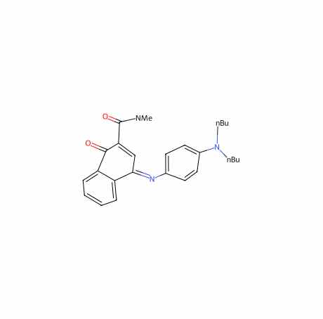 CCCCN(CCCC)c1ccc(N=C2C=C(C(=O)NC)C(=O)c3ccccc32)cc1